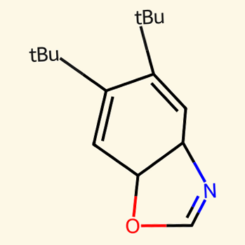 CC(C)(C)C1=CC2N=COC2C=C1C(C)(C)C